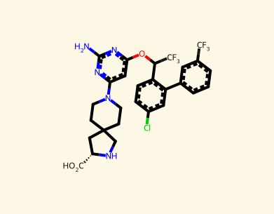 Nc1nc(OC(c2ccc(Cl)cc2-c2cccc(C(F)(F)F)c2)C(F)(F)F)cc(N2CCC3(CC2)CN[C@H](C(=O)O)C3)n1